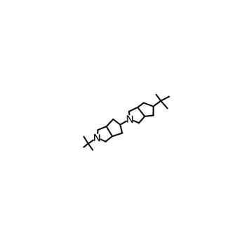 CC(C)(C)C1CC2CN(C3CC4CN(C(C)(C)C)CC4C3)CC2C1